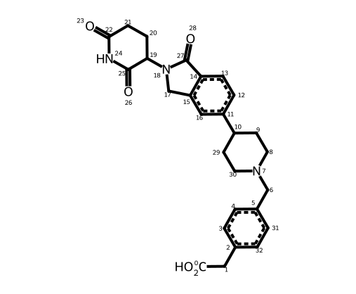 O=C(O)Cc1ccc(CN2CCC(c3ccc4c(c3)CN(C3CCC(=O)NC3=O)C4=O)CC2)cc1